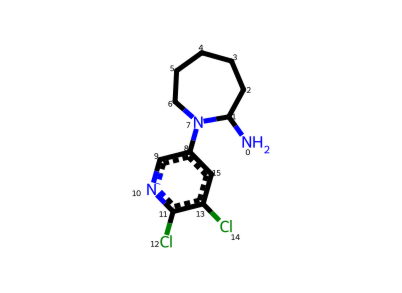 NC1CCCCCN1c1cnc(Cl)c(Cl)c1